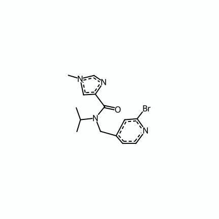 CC(C)N(Cc1ccnc(Br)c1)C(=O)c1cn(C)cn1